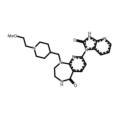 COCCN1CCC(CN2CCNC(=O)c3ccc(-n4c(=O)[nH]c5ncccc54)nc32)CC1